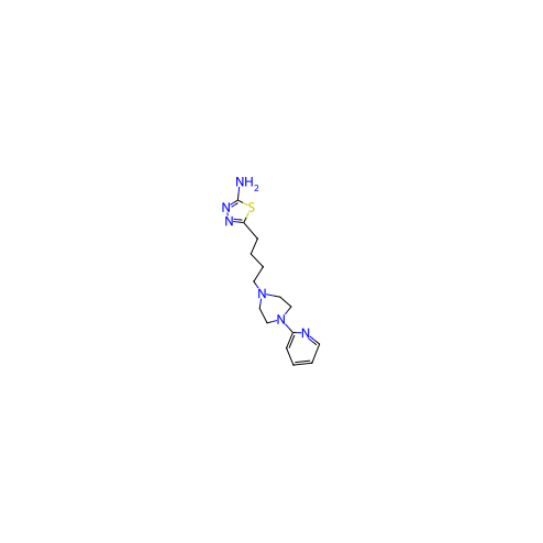 Nc1nnc(CCCCN2CCN(c3ccccn3)CC2)s1